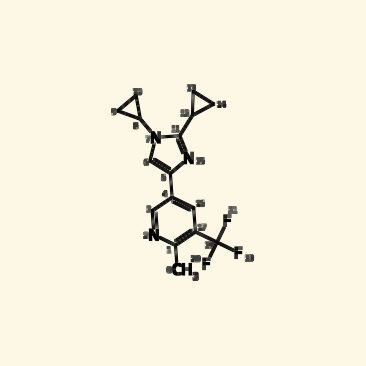 Cc1ncc(-c2cn(C3CC3)c(C3CC3)n2)cc1C(F)(F)F